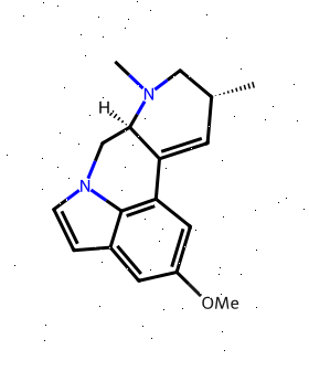 COc1cc2c3c(ccn3C[C@@H]3C2=C[C@@H](C)CN3C)c1